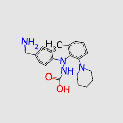 Cc1cccc(N2CCCCC2)c1N(NC(=O)O)c1ccc(CN)cc1